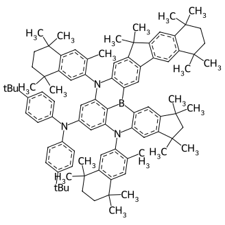 Cc1cc2c(cc1N1c3cc4c(cc3B3c5cc6c(cc5N(c5cc7c(cc5C)C(C)(C)CCC7(C)C)c5cc(N(c7ccc(C(C)(C)C)cc7)c7ccc(C(C)(C)C)cc7)cc1c53)C(C)(C)c1cc3c(cc1-6)C(C)(C)CCC3(C)C)C(C)(C)CC4(C)C)C(C)(C)CCC2(C)C